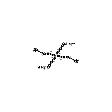 C=CC(=O)OCCCCCCOc1ccc(-c2ccc(C(=O)Oc3ccc(/C(=C(\c4ccc(OC(=O)c5ccc(-c6ccc(OCCCCCCC)cc6)cc5)cc4)c4ccc(OC(=O)c5ccc(-c6ccc(OCCCCCCOC(=O)C=C)cc6)cc5)cc4)c4ccc(OC(=O)c5ccc(-c6ccc(OCCCCCCC)cc6)cc5)cc4)cc3)cc2)cc1